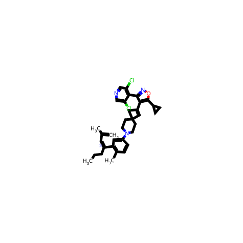 C=C(C)/C=C(/CCC)c1cc(N2CCC3(C=C(c4c(-c5c(Cl)cncc5Cl)noc4C4CC4)C3)CC2)ccc1C